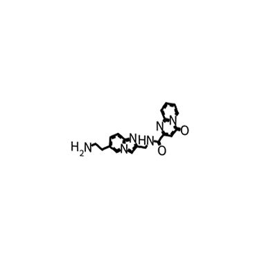 NCCc1ccc2nc(CNC(=O)c3cc(=O)n4ccccc4n3)cn2c1